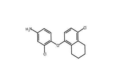 Nc1ccc(Oc2ccc(Cl)c3c2CCCC3)c(Cl)c1